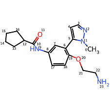 Cn1nccc1-c1cc(NC(=O)C2CCCC2)ccc1OCCN